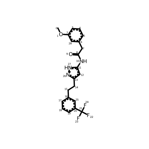 COc1cccc(CC(=O)Nc2cc(CCc3cccc(C(F)(F)F)c3)n[nH]2)c1